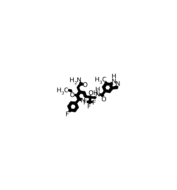 CCOc1c(CC(N)=O)cc([C@@](O)(CNC(=O)c2cc(C)c3[nH]ncc3c2)C(F)(F)F)nc1-c1ccc(F)cc1